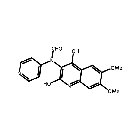 COc1cc2nc(O)c(N(C=O)c3ccncc3)c(O)c2cc1OC